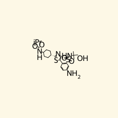 CC(C)OC(=O)N[C@H]1CC[C@H](c2ncc(-c3ccc(N)cc3S(=O)(=O)NC(C)(C)CO)s2)CC1